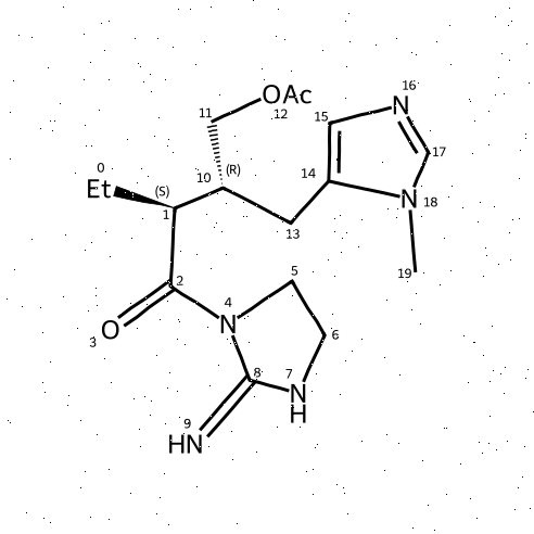 CC[C@H](C(=O)N1CCNC1=N)[C@H](COC(C)=O)Cc1cncn1C